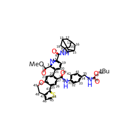 COC(=O)c1nc(C(=O)NC23CC4CC(CC(C4)C2)C3)ccc1-c1cc2c(cc1C(=O)Nc1ccc(CNC(=O)OC(C)(C)C)cc1)-c1sccc1CCO2